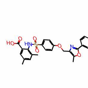 Cc1cc(C)c(NS(=O)(=O)c2ccc(OCc3nc(-c4ccccc4)oc3C)cc2)c(C(=O)O)c1